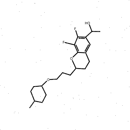 CC1CCC(OCCCC2CCc3cc(C(C)O)c(F)c(F)c3O2)CC1